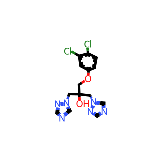 OC(COc1ccc(Cl)c(Cl)c1)(Cn1cncn1)Cn1cncn1